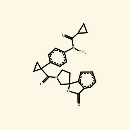 CN(C(=O)C1CC1)c1ccc(C2(C(=O)N3CCC4(C3)OC(=O)c3ccccc34)CC2)cc1